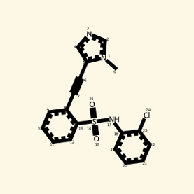 Cn1cncc1C#Cc1ccccc1S(=O)(=O)Nc1ccccc1Cl